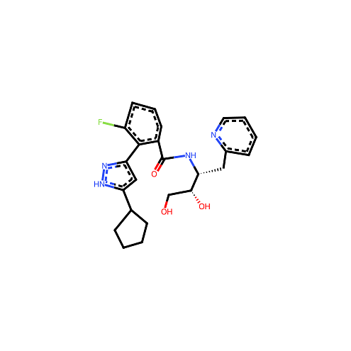 O=C(N[C@H](Cc1ccccn1)[C@H](O)CO)c1cccc(F)c1-c1cc(C2CCCC2)[nH]n1